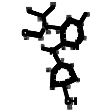 Cc1cnc(N(C)c2ccc(O)cc2)c(N(C=O)C(C)C)c1